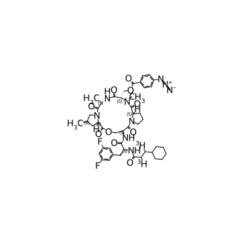 [3H]C(C(=O)N[C@@H](Cc1cc(F)cc(F)c1)C(=O)N[C@H]1COC(=O)[C@@H]2C[C@@H](C)CN2C(=O)[C@H](C)NC(=O)[C@H](COC(=O)c2ccc(N=[N+]=[N-])cc2)N(C)C(=O)[C@@H]2CCCN2C1=O)C([3H])C1CCCCC1